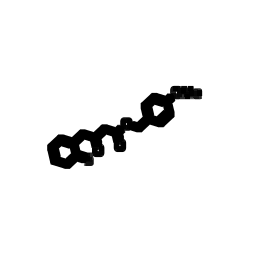 COc1ccc(COC(=O)CC(=O)CC2=CC=CCC2=S)cc1